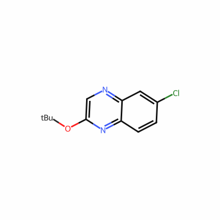 CC(C)(C)Oc1cnc2cc(Cl)ccc2n1